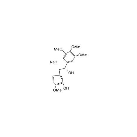 COc1ccc(C[C@@H](O)c2cc(OC)c(OC)c(OC)c2)cc1O.[NaH]